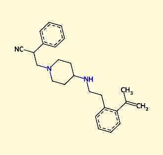 C=C(C)c1ccccc1CCNC1CCN(CC(C#N)c2ccccc2)CC1